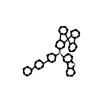 c1ccc(-c2ccc(-c3ccc(N(c4ccc5c(c4)C4(c6ccccc6-c6ccccc64)c4ccccc4-5)c4ccc5sc6ccccc6c5c4)cc3)cc2)cc1